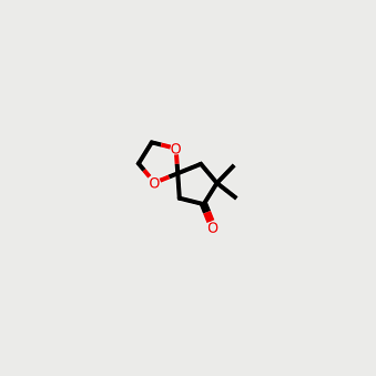 CC1(C)CC2(CC1=O)OCCO2